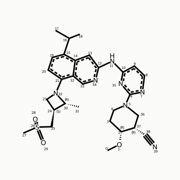 CO[C@@H]1CCN(c2nccc(Nc3cc4c(C(C)C)ccc(N5C[C@H](CS(C)(=O)=O)[C@H]5C)c4cn3)n2)C[C@@H]1C#N